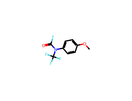 COc1ccc(N(C(=O)F)C(F)(F)F)cc1